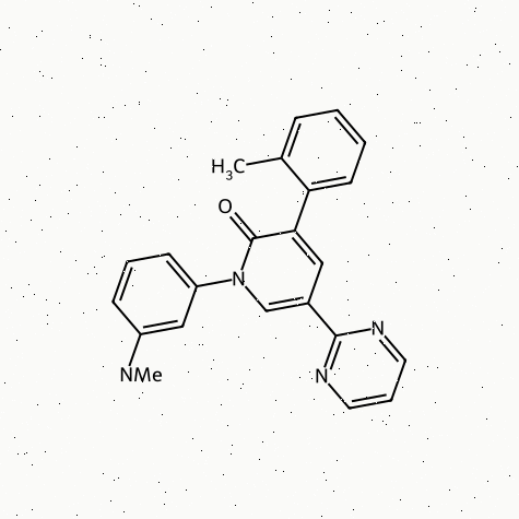 CNc1cccc(-n2cc(-c3ncccn3)cc(-c3ccccc3C)c2=O)c1